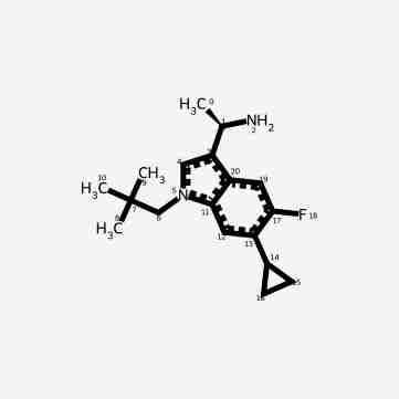 C[C@@H](N)c1cn(CC(C)(C)C)c2cc(C3CC3)c(F)cc12